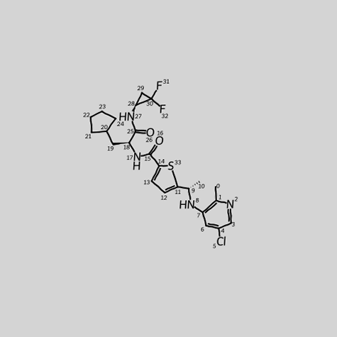 Cc1ncc(Cl)cc1N[C@@H](C)c1ccc(C(=O)N[C@@H](CC2CCCC2)C(=O)N[C@H]2CC2(F)F)s1